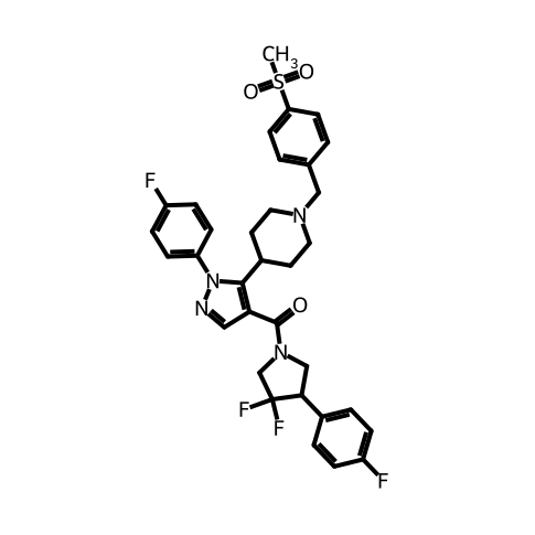 CS(=O)(=O)c1ccc(CN2CCC(c3c(C(=O)N4CC(c5ccc(F)cc5)C(F)(F)C4)cnn3-c3ccc(F)cc3)CC2)cc1